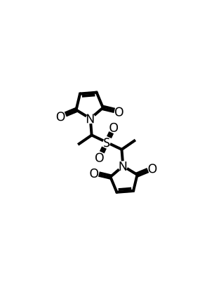 CC(N1C(=O)C=CC1=O)S(=O)(=O)C(C)N1C(=O)C=CC1=O